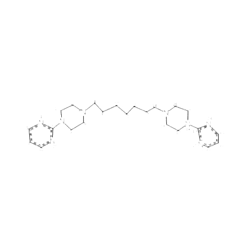 c1cnc(N2CCN(CCCCCCCN3CCN(c4ncccn4)CC3)CC2)nc1